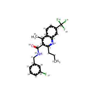 CCCc1nc2cc(C(F)(F)F)ccc2c(C)c1C(=O)NCc1cccc(F)c1